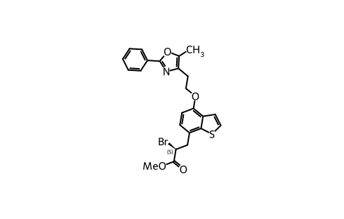 COC(=O)[C@@H](Br)Cc1ccc(OCCc2nc(-c3ccccc3)oc2C)c2ccsc12